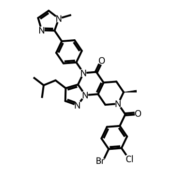 CC(C)Cc1cnn2c3c(c(=O)n(-c4ccc(-c5nccn5C)cc4)c12)C[C@@H](C)N(C(=O)c1ccc(Br)c(Cl)c1)C3